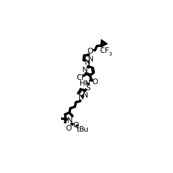 CC(C)(C)OC(=O)N1CC(CCCCn2ccc(SNC(=O)c3ccc(-n4ccc(OCCC5(C(F)(F)F)CC5)n4)nc3Cl)n2)CC1(C)C